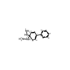 NNC1(NN)C=CC(c2ccccc2)=CC1